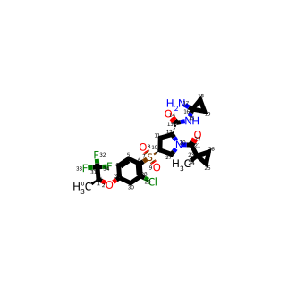 C[C@H](OC1C=CC(S(=O)(=O)[C@@H]2C[C@H](C(=O)NC3(N)CC3)N(C(=O)C3(C)CC3)C2)=C(Cl)C1)C(F)(F)F